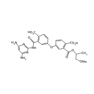 COCC(C)OC(=O)c1cc(Oc2ccc(C(=O)O)c(C(=O)Nc3nc(N)cc(N)n3)c2)ccc1C(=O)O